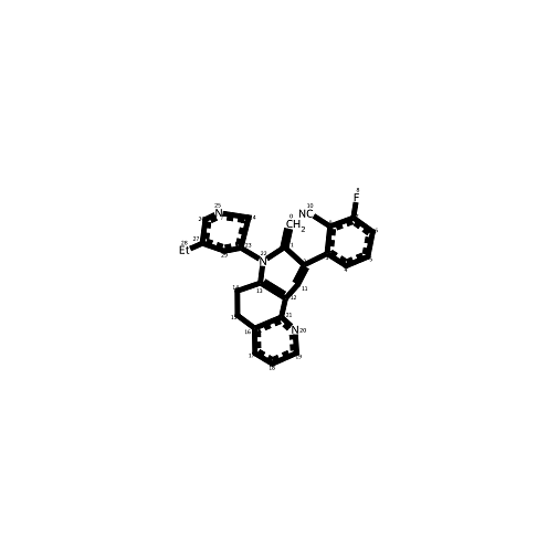 C=C1C(c2cccc(F)c2C#N)=CC2=C(CCc3cccnc32)N1c1cncc(CC)c1